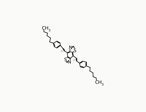 CCCCCCc1ccc(/C=C/c2c3ncsc3c(/C=C/c3ccc(CCCCCC)cc3)c3ncsc23)cc1